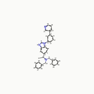 CC(c1ccc2c(c1)ncn2-c1cccc(-c2cccnc2)c1)N(Cc1ccccc1)Cc1ccccc1